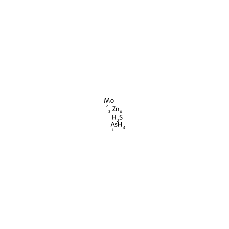 S.[AsH3].[Mo].[Zn]